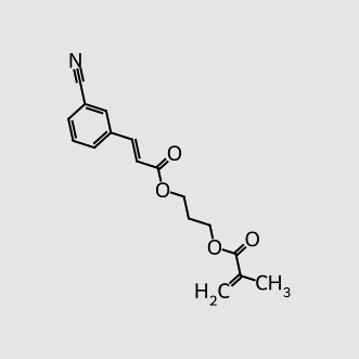 C=C(C)C(=O)OCCCOC(=O)/C=C/c1cccc(C#N)c1